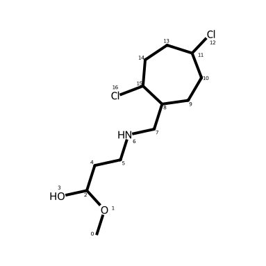 COC(O)CCNCC1CCC(Cl)CCC1Cl